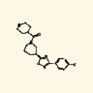 O=C(C1CCOCC1)N1CCC[C@H](c2nc(-c3ccc(F)cc3)no2)C1